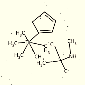 CNC(C)(Cl)Cl.[CH3][Ti]([CH3])([CH3])([CH3])([CH3])[C]1=CC=CC1